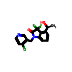 C[C@H](O)c1cccc2c1C(F)(F)C(=O)N2Cc1cnccc1Cl